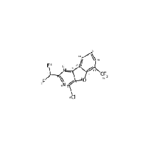 FC(F)c1nc(Cl)c2oc3c(C(F)(F)F)cccc3c2n1